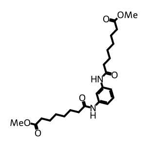 COC(=O)CCCCCCC(=O)Nc1cccc(NC(=O)CCCCCCC(=O)OC)c1